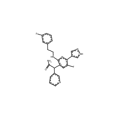 NC(=O)C(c1cccnc1)c1cc(F)c(-c2cn[nH]c2)nc1NCCc1cccc(F)c1